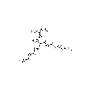 CC(=O)O.CCOCCOCC(C)OCCOCC